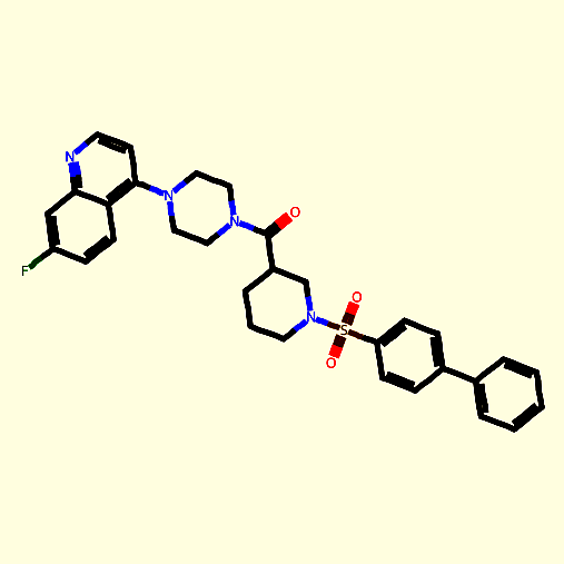 O=C(C1CCCN(S(=O)(=O)c2ccc(-c3ccccc3)cc2)C1)N1CCN(c2ccnc3cc(F)ccc23)CC1